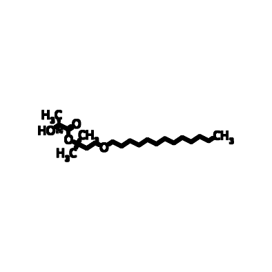 CCCCCCCCCCCCCOCCC(C)(C)OC(=O)[C@H](C)O